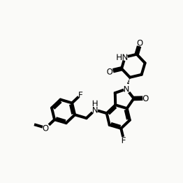 COc1ccc(F)c(CNc2cc(F)cc3c2CN([C@H]2CCC(=O)NC2=O)C3=O)c1